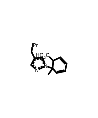 CC(C)Cc1cnn(C2(C)C=CC=CC2C(=O)O)c1